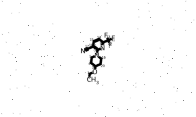 CCOC1CCN(c2nc(C(F)(F)F)ccc2C#N)CC1